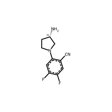 N#Cc1cc(F)c(F)cc1N1CC[C@H](N)C1